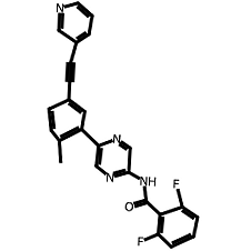 Cc1ccc(C#Cc2cccnc2)cc1-c1cnc(NC(=O)c2c(F)cccc2F)cn1